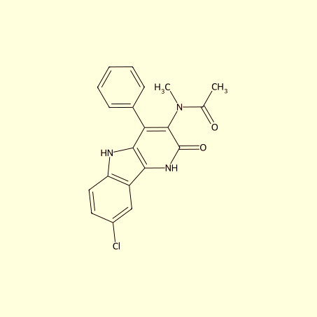 CC(=O)N(C)c1c(-c2ccccc2)c2[nH]c3ccc(Cl)cc3c2[nH]c1=O